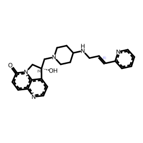 O=c1ccc2nccc3c2n1C[C@@]3(O)CN1CCC(NC/C=C/c2ccccn2)CC1